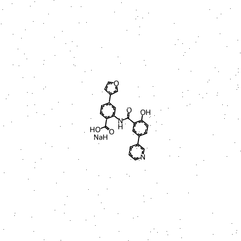 O=C(Nc1cc(-c2ccoc2)ccc1C(=O)O)c1cc(-c2cccnc2)ccc1O.[NaH]